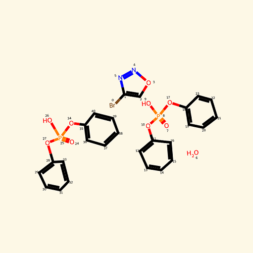 Brc1conn1.O.O=P(O)(Oc1ccccc1)Oc1ccccc1.O=P(O)(Oc1ccccc1)Oc1ccccc1